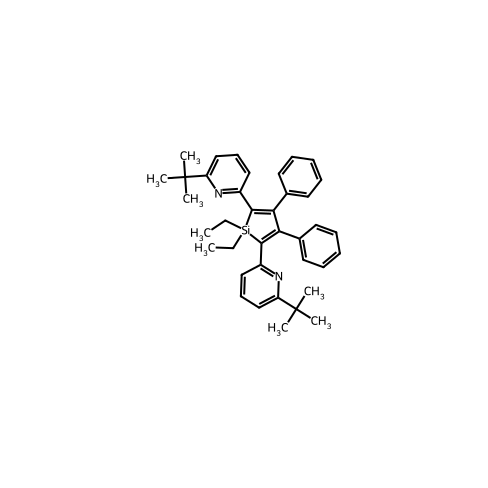 CC[Si]1(CC)C(c2cccc(C(C)(C)C)n2)=C(c2ccccc2)C(c2ccccc2)=C1c1cccc(C(C)(C)C)n1